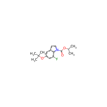 CC(C)OC(=O)n1ccc2cc(OC(C)(C)C)cc(F)c21